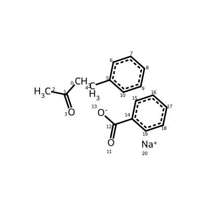 CC(C)=O.Cc1ccccc1.O=C([O-])c1ccccc1.[Na+]